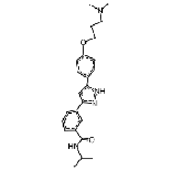 CC(C)NC(=O)c1cccc(-c2cc(-c3ccc(OCCCN(C)C)cc3)[nH]n2)c1